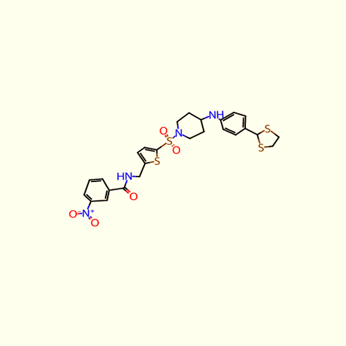 O=C(NCc1ccc(S(=O)(=O)N2CCC(Nc3ccc(C4SCCS4)cc3)CC2)s1)c1cccc([N+](=O)[O-])c1